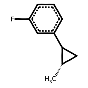 C[C@H]1CC1c1cccc(F)c1